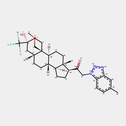 COC[C@]12CC[C@](O)(C(F)(F)F)C[C@H]1CC[C@H]1[C@@H]3CC[C@H](C(=O)Cn4nnc5cc(C)ccc54)[C@@]3(C)CC[C@@H]12